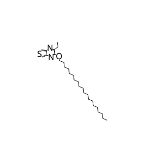 CCCCCCCCCCCCCCCCCCCCOc1nc2cscc2nc1CC